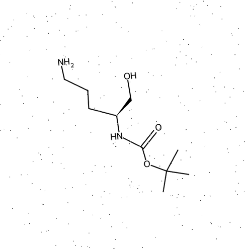 CC(C)(C)OC(=O)N[C@H](CO)CCCN